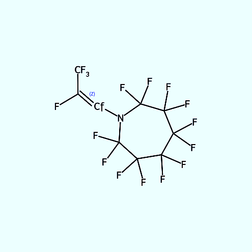 F/[C](=[Cf]\[N]1C(F)(F)C(F)(F)C(F)(F)C(F)(F)C(F)(F)C1(F)F)C(F)(F)F